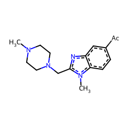 CC(=O)c1ccc2c(c1)nc(CN1CCN(C)CC1)n2C